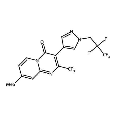 CSc1ccn2c(=O)c(-c3cnn(CC(F)(F)C(F)(F)F)c3)c(C(F)(F)F)nc2c1